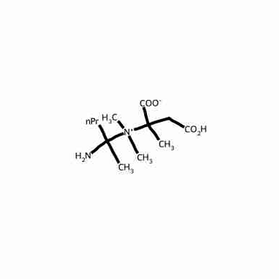 CCCC(C)(N)[N+](C)(C)C(C)(CC(=O)O)C(=O)[O-]